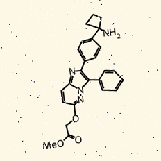 COC(=O)COc1ccc2nc(-c3ccc(C4(N)CCC4)cc3)c(-c3ccccc3)n2n1